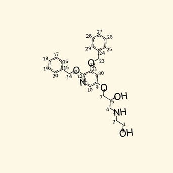 OCCNCC(O)COc1cnc(OCc2ccccc2)c(OCc2ccccc2)c1